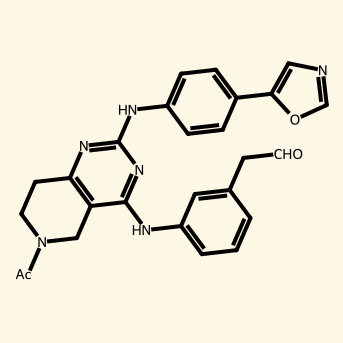 CC(=O)N1CCc2nc(Nc3ccc(-c4cnco4)cc3)nc(Nc3cccc(CC=O)c3)c2C1